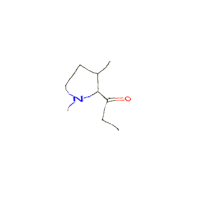 CCC(=O)C1C(C)CCN1C